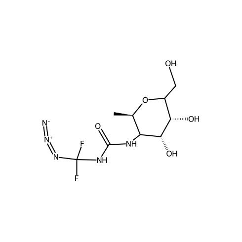 C[C@H]1OC(CO)[C@H](O)[C@H](O)C1NC(=O)NC(F)(F)N=[N+]=[N-]